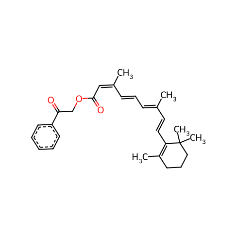 CC(C=CC1=C(C)CCCC1(C)C)=CC=C/C(C)=C\C(=O)OCC(=O)c1ccccc1